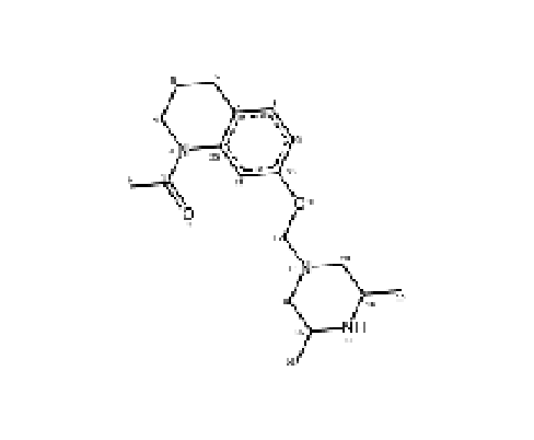 CC(=O)N1CCCc2ccc(OCN3CC(C)NC(C)C3)cc21